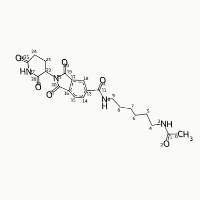 CC(=O)NCCCCCCNC(=O)c1ccc2c(c1)C(=O)N(C1CCC(=O)NC1=O)C2=O